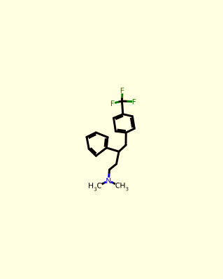 CN(C)CCC(Cc1ccc(C(F)(F)F)cc1)c1ccccc1